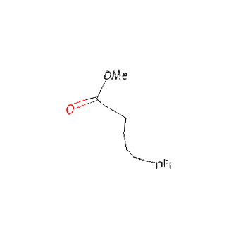 C[CH]CCCC(=O)OC